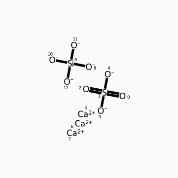 O=S(=O)([O-])[O-].[Ca+2].[Ca+2].[Ca+2].[O-][Si]([O-])([O-])[O-]